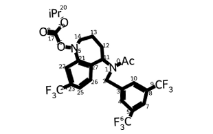 CC(=O)N(Cc1cc(C(F)(F)F)cc(C(F)(F)F)c1)C1CCCN(OC(=O)OC(C)C)c2cc(C(F)(F)F)ccc21